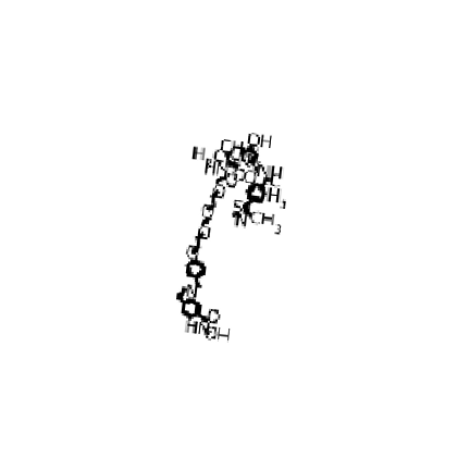 Cc1ncsc1-c1ccc([C@H](C)NC(=O)[C@@H]2C[C@@H](O)CN2C(=O)[C@@H](NC(=O)COCCOCCOCCOc2ccc(Cn3ccc4ccc(C(=O)NO)cc43)cc2)C(C)(C)C)cc1